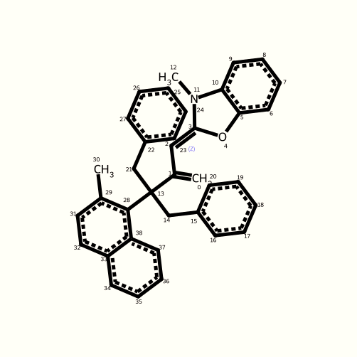 C=C(/C=C1\Oc2ccccc2N1C)C(Cc1ccccc1)(Cc1ccccc1)c1c(C)ccc2ccccc12